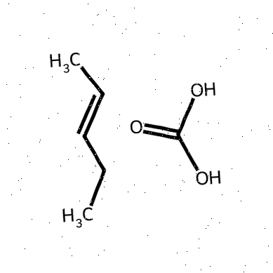 C/C=C/CC.O=C(O)O